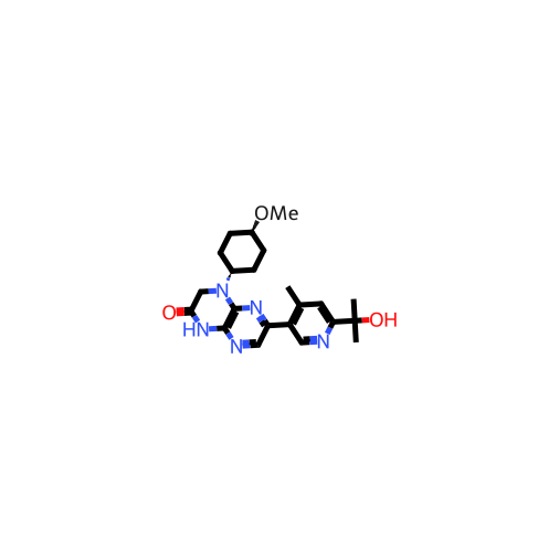 CO[C@H]1CC[C@H](N2CC(=O)Nc3ncc(-c4cnc(C(C)(C)O)cc4C)nc32)CC1